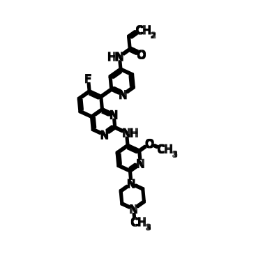 C=CC(=O)Nc1ccnc(-c2c(F)ccc3cnc(Nc4ccc(N5CCN(C)CC5)nc4OC)nc23)c1